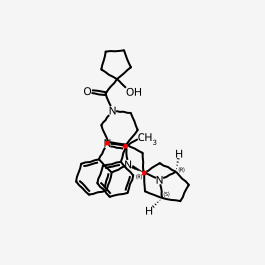 Cc1nc2ccccc2n1[C@H]1C[C@H]2CC[C@@H](C1)N2CCC1(c2ccccc2)CCN(C(=O)C2(O)CCCC2)CC1